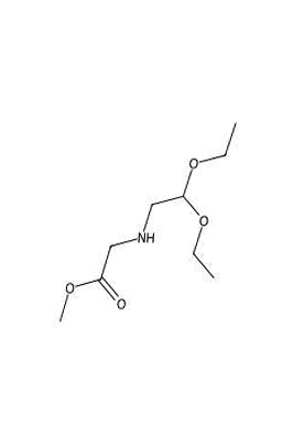 CCOC(CNCC(=O)OC)OCC